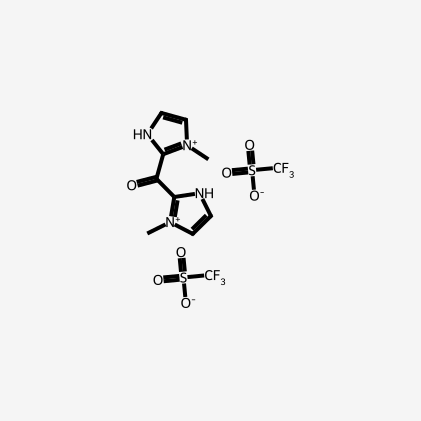 C[n+]1cc[nH]c1C(=O)c1[nH]cc[n+]1C.O=S(=O)([O-])C(F)(F)F.O=S(=O)([O-])C(F)(F)F